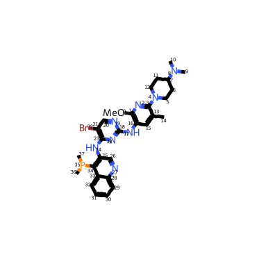 COc1nc(N2CCC(N(C)C)CC2)c(C)cc1Nc1ncc(Br)c(Nc2cnc3ccccc3c2P(C)C)n1